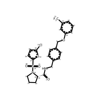 O=C(NCc1ccc(COc2cccc(C(F)(F)F)c2)cc1)[C@@H]1CCCN1S(=O)(=O)c1ccc(Cl)s1